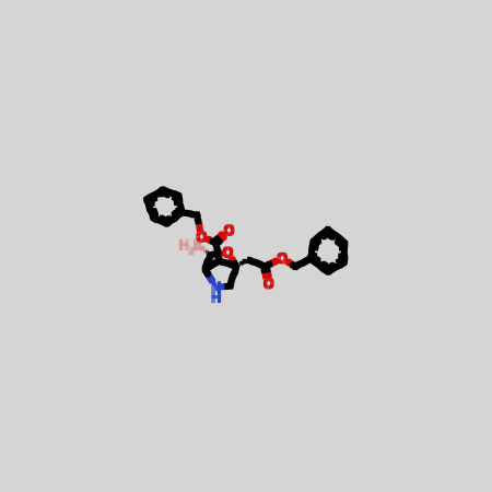 B[C@@H]1O[C@@]2(CC(=O)OCc3ccccc3)CNC1C2C(=O)OCc1ccccc1